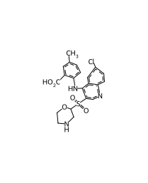 Cc1ccc(Nc2c(S(=O)(=O)C3CNCCO3)cnc3ccc(Cl)cc23)c(C(=O)O)c1